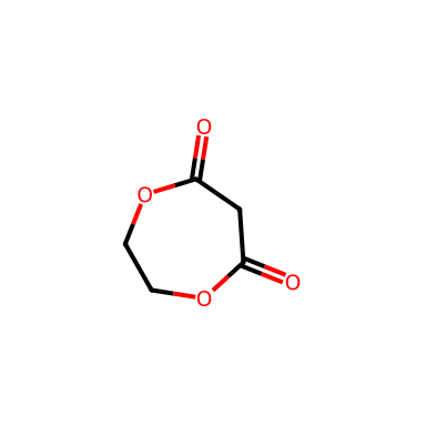 O=C1CC(=O)OCCO1